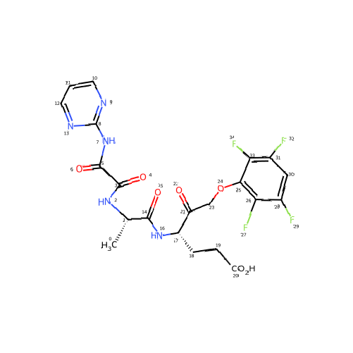 C[C@H](NC(=O)C(=O)Nc1ncccn1)C(=O)N[C@@H](CCC(=O)O)C(=O)COc1c(F)c(F)cc(F)c1F